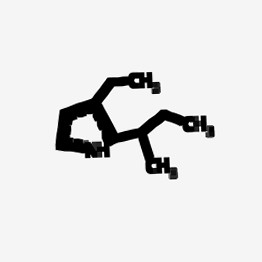 CCc1cc[nH]c1C(C)CC